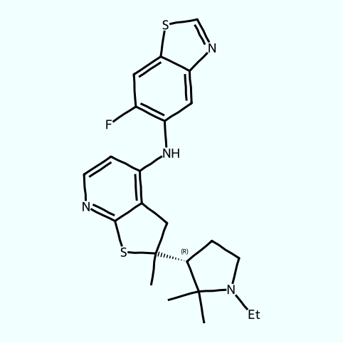 CCN1CC[C@@H](C2(C)Cc3c(Nc4cc5ncsc5cc4F)ccnc3S2)C1(C)C